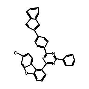 Clc1ccc2c(c1)oc1cccc(-c3nc(-c4ccccc4)nc(-c4ccc(-c5ccc6ccccc6c5)cc4)n3)c12